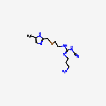 Cc1cnc(CSCCNC(=NCCCN)NC#N)[nH]1